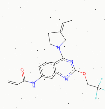 C=CC(=O)Nc1ccc2c(N3CC/C(=C/C)C3)nc(OCC(F)(F)F)nc2c1